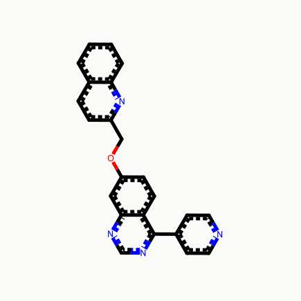 c1ccc2nc(COc3ccc4c(-c5ccncc5)ncnc4c3)ccc2c1